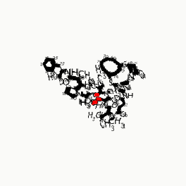 CC[C@H](C)C([C@@H](CC(=O)N1CCC[C@H]1[C@H](OC)[C@@H](C)C(=O)N[C@@H](Cc1ccccc1)C(=O)O)OC)N(C)C(=O)[C@@H](NC(=O)C(C(C)C)N(C)C(=O)CCC(=O)Nc1nc2nc(n1)N1C(=O)CC(SC3CCCCC(CC3)S2)C1=O)C(C)C